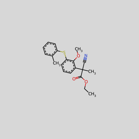 CCOC(=O)C(C)(C#N)c1cccc(Sc2ccccc2C)c1OC